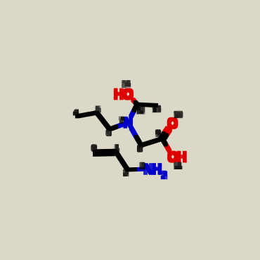 C=CCN.CCCN(CC(=O)O)C(C)O